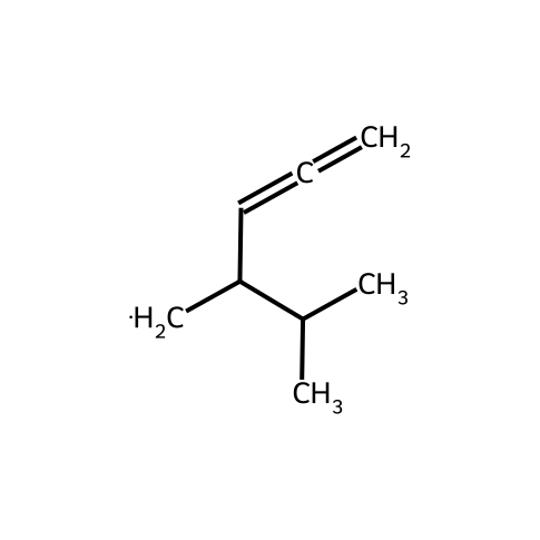 [CH2]C(C=C=C)C(C)C